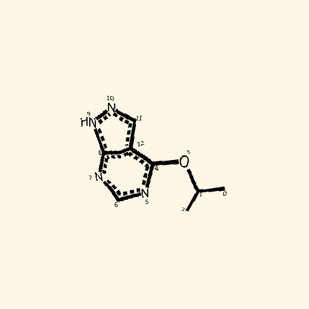 CC(C)Oc1ncnc2[nH]ncc12